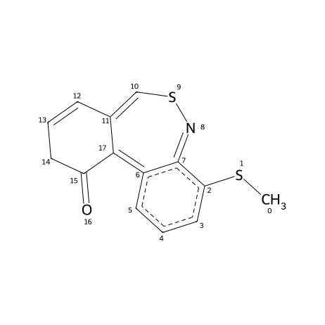 CSc1cccc2c1=NSC=C1C=CCC(=O)C=21